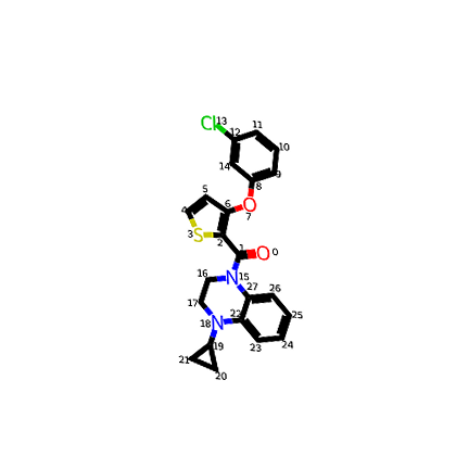 O=C(c1sccc1Oc1cccc(Cl)c1)N1CCN(C2CC2)c2ccccc21